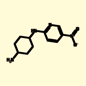 NC1CCC(Nc2ccc([N+](=O)[O-])cn2)CC1